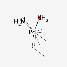 C[CH]=[Pd]([CH3])([CH3])([CH3])([CH3])([NH2])([NH2])([Cl])[Cl]